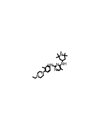 CCN1CCN(c2ccc(Nc3ncc(C)c(NC4CC(C)(C)N(C)C(C)(C)C4)n3)cc2C)CC1